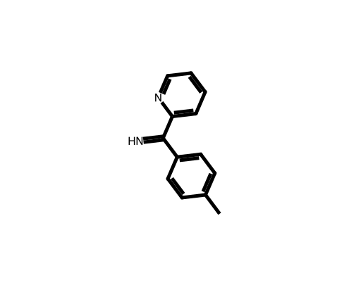 Cc1ccc(C(=N)c2ccccn2)cc1